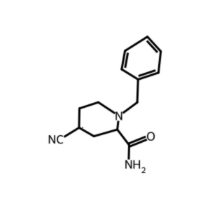 N#C[C]1CCN(Cc2ccccc2)C(C(N)=O)C1